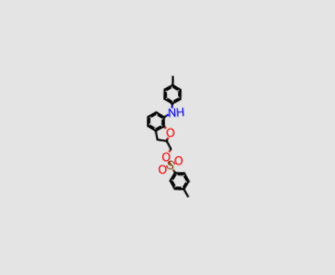 Cc1ccc(Nc2cccc3c2OC(COS(=O)(=O)c2ccc(C)cc2)C3)cc1